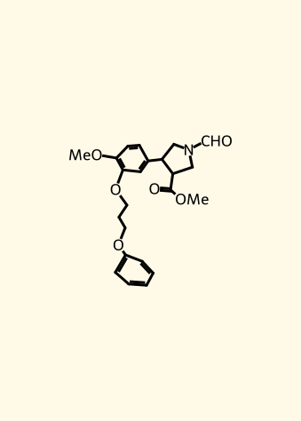 COC(=O)C1CN(C=O)CC1c1ccc(OC)c(OCCCOc2ccccc2)c1